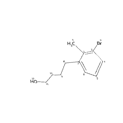 Cc1c(Br)cccc1CCCCO